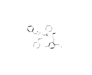 NCc1ccc(Cl)cc1CNC(=O)[C@@H]1CCCCN1C(=O)[C@@H](CC(=O)N1CCOCC1)NS(=O)(=O)Cc1ccccc1